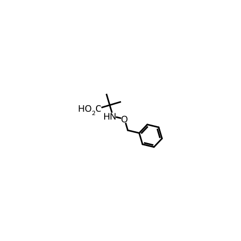 CC(C)(NOCc1ccccc1)C(=O)O